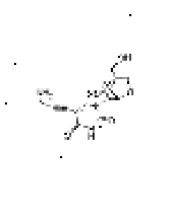 NCC#Cc1cn([C@@H]2O[C@]3(CO)COC2C3O)c(=O)[nH]c1=O